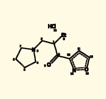 CCC(CN1CCCC1)C(=O)c1ccon1.Cl